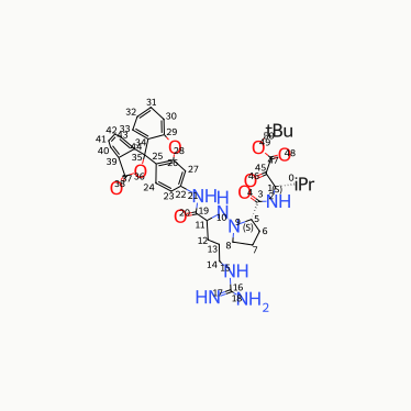 CC(C)[C@H](NC(=O)[C@@H]1CCCN1NC(CCCNC(=N)N)C(=O)Nc1ccc2c(c1)Oc1ccccc1C21OC(=O)c2ccccc21)C(=O)C(=O)OC(C)(C)C